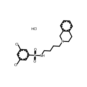 Cl.O=S(=O)(NCCCCN1CCc2ccccc2C1)c1cc(Cl)cc(Cl)c1